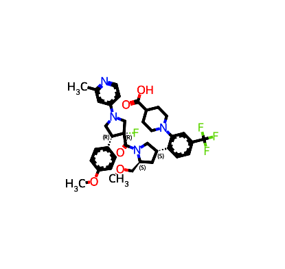 COC[C@@H]1C[C@@H](c2ccc(C(F)(F)F)cc2N2CCC(C(=O)O)CC2)CN1C(=O)[C@]1(F)CN(c2ccnc(C)c2)C[C@H]1c1ccc(OC)cc1